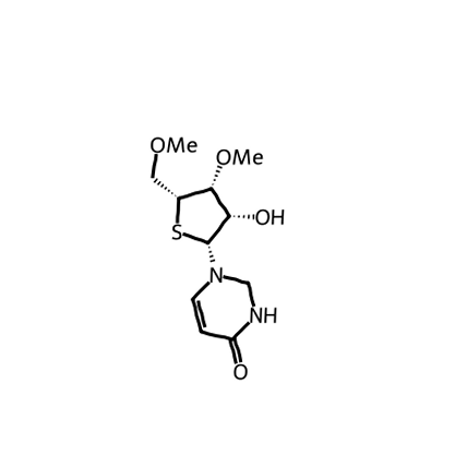 COC[C@H]1S[C@@H](N2C=CC(=O)NC2)[C@@H](O)[C@H]1OC